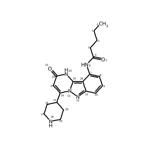 CCCCC(=O)Nc1cccc2nn3c(C4CCNCC4)cc(=O)[nH]c3c12